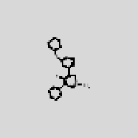 Cn1cc(-c2ccccc2)c(=O)c(-c2cccc(Sc3ccccc3)c2)c1